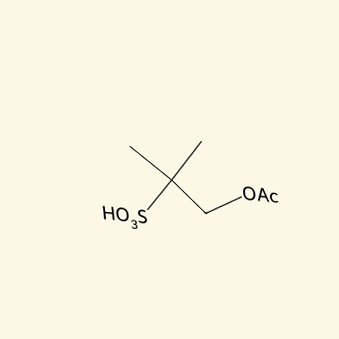 CC(=O)OCC(C)(C)S(=O)(=O)O